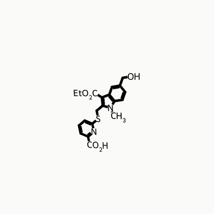 CCOC(=O)c1c(CSc2cccc(C(=O)O)n2)n(C)c2ccc(CO)cc12